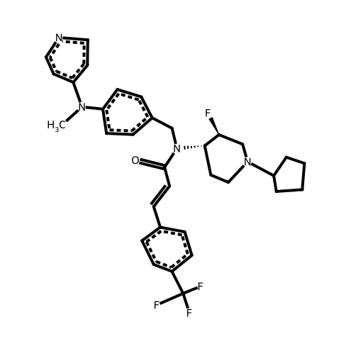 CN(c1ccncc1)c1ccc(CN(C(=O)C=Cc2ccc(C(F)(F)F)cc2)[C@H]2CCN(C3CCCC3)C[C@@H]2F)cc1